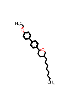 CCCCCCCCC1CCC(c2ccc(-c3ccc(OCC)cc3)cc2)OC1